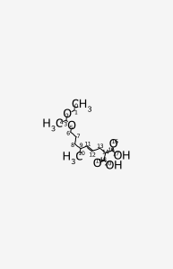 CCOC(C)OCCCC(C)C=CCC(C(=O)O)C(=O)O